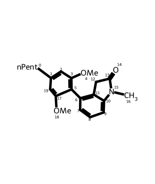 CCCCCc1cc(OC)c(-c2cccc3c2CC(=O)N3C)c(OC)c1